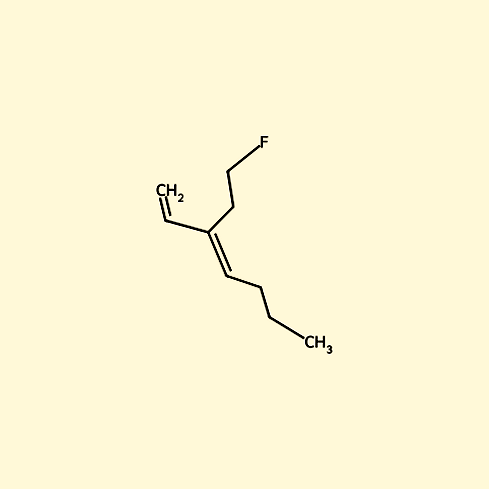 C=C/C(=C/CCC)CCF